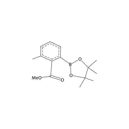 COC(=O)c1c(C)cccc1B1OC(C)(C)C(C)(C)O1